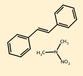 C(=Cc1ccccc1)c1ccccc1.CN(C)[N+](=O)[O-]